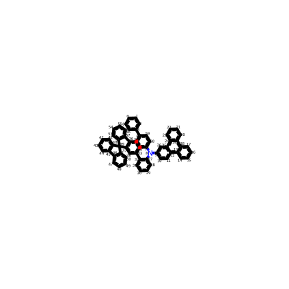 c1ccc(-c2ccc(N(c3ccc4c5ccccc5c5ccccc5c4c3)c3ccccc3-c3ccc4c(c3)C3(c5ccccc5-c5ccccc53)c3ccccc3-4)cc2)cc1